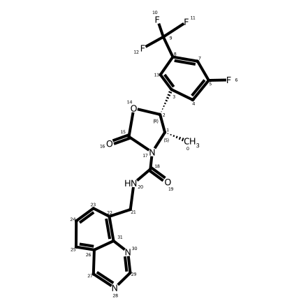 C[C@H]1[C@@H](c2cc(F)cc(C(F)(F)F)c2)OC(=O)N1C(=O)NCc1cccc2cncnc12